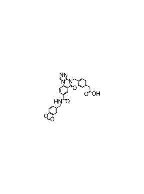 O=C(O)Cc1ccc(Cn2c(=O)c3cc(C(=O)NCc4ccc5c(c4)OCO5)ccc3n3cnnc23)cc1